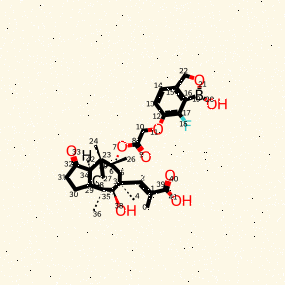 C/C(=C\[C@]1(C)C[C@@H](OC(=O)COc2ccc3c(c2F)B(O)OC3)[C@]2(C)[C@H](C)CC[C@]3(CCC(=O)[C@H]32)[C@@H](C)[C@@H]1O)C(=O)O